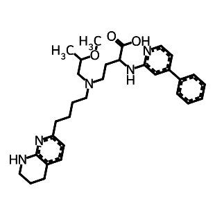 COC(C)CN(CCCCc1ccc2c(n1)NCCC2)CCC(Nc1cc(-c2ccccc2)ccn1)C(=O)O